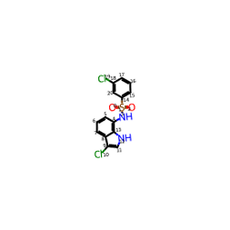 O=S(=O)(Nc1cccc2c(Cl)c[nH]c12)c1cccc(Cl)c1